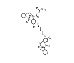 COc1cc2c(cc1OCCCCCOc1cc3c(cc1OC)C(=O)N1c4ccccc4C[C@H]1CN3C(=O)CCC(N)=O)N=C[C@@H]1Cc3ccccc3N1C2=O